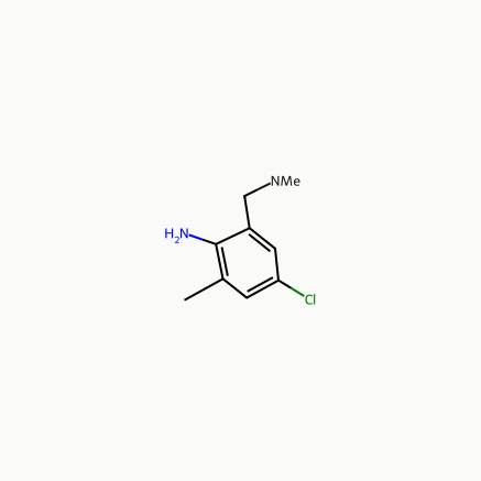 CNCc1cc(Cl)cc(C)c1N